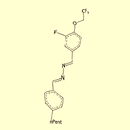 CCCCCc1ccc(C=NN=Cc2ccc(OCC(F)(F)F)c(F)c2)cc1